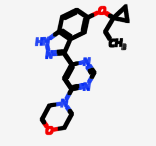 CCC1(Oc2ccc3[nH]nc(-c4cc(N5CCOCC5)ncn4)c3c2)CC1